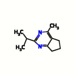 Cc1nc(C(C)C)nc2c1CCC2